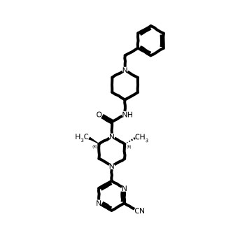 C[C@@H]1CN(c2cncc(C#N)n2)C[C@@H](C)N1C(=O)NC1CCN(Cc2ccccc2)CC1